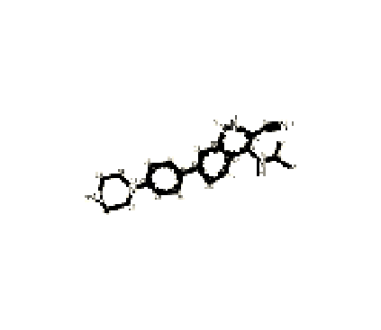 CC(C)Nc1c(C#N)nnc2cc(-c3ccc(N4CCOCC4)cc3)ccc12